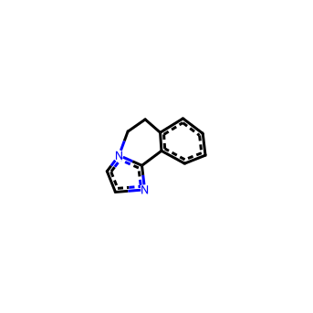 c1ccc2c(c1)CCn1ccnc1-2